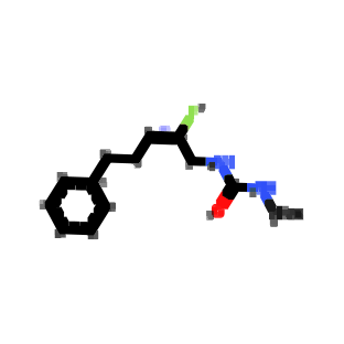 CCCCCCNC(=O)NC/C(F)=C\CCc1ccccc1